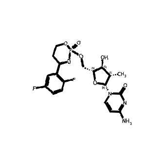 C[C@H]1[C@H](O)[C@@H](COP2(=O)OCCC(c3cc(F)ccc3F)O2)O[C@H]1n1ccc(N)nc1=O